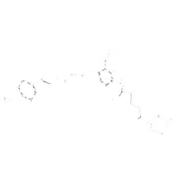 COc1ccc(/C=C/CCCCOc2ccc(NC(=O)CCCC(=O)N3CCOCC3)cc2CCC(=O)O)cc1